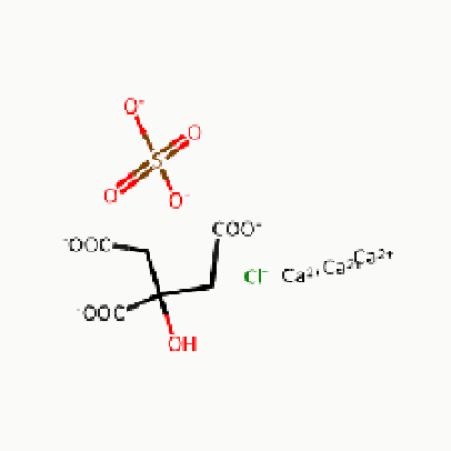 O=C([O-])CC(O)(CC(=O)[O-])C(=O)[O-].O=S(=O)([O-])[O-].[Ca+2].[Ca+2].[Ca+2].[Cl-]